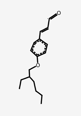 CCCCC(CC)COc1ccc(/C=C/[C]=O)cc1